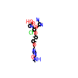 Cc1c(COc2cc(OCc3cncc(C#N)c3)c(CN3CCCC[C@H]3C(=O)O)cc2Cl)cccc1-c1cccc(OCCCN2CCN(CC(=O)NC(C)C)CC2)c1C